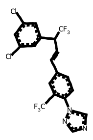 FC(F)(F)c1cc(/C=C/C(c2cc(Cl)cc(Cl)c2)C(F)(F)F)ccc1-n1cncn1